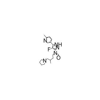 Cc1ccc(-c2[nH]nc(N(C=O)CCC(C)CN3CCCC3)c2F)cn1